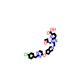 O=C(O)c1ccc2nc(CN3CC4CC(Oc5ccnc(Cc6ccc(Cl)cc6)n5)CC4C3)n(C[C@@H]3CCO3)c2n1